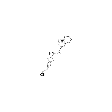 CC/C(=C\C1=CCCC=C1)C1C[C@H]1NC1CC2(C1)CN(CCO)C2